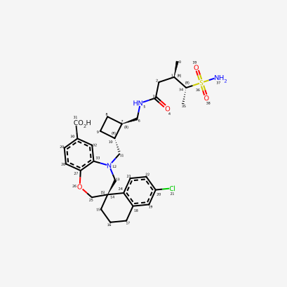 C[C@H](CC(=O)NC[C@@H]1CC[C@H]1CN1C[C@@]2(CCCc3cc(Cl)ccc32)COc2ccc(C(=O)O)cc21)[C@@H](C)S(N)(=O)=O